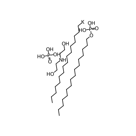 CCCCCCCCCCCCCCCCOP(=O)(O)O.CCCCCCCCCCCCCCC[CH2][K].O=P(O)(O)O.OCCNCCO